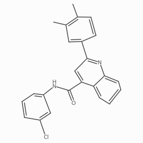 Cc1ccc(-c2cc(C(=O)Nc3cccc(Cl)c3)c3ccccc3n2)cc1C